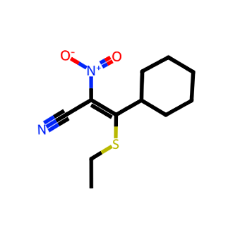 CCSC(=C(C#N)[N+](=O)[O-])C1CCCCC1